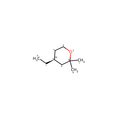 CC[C@H]1CCOC(C)(C)C1